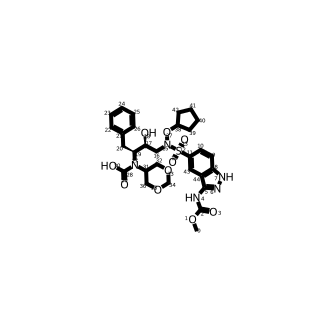 COC(=O)Nc1n[nH]c2ccc(S(=O)(=O)N(C[C@H](O)[C@H](Cc3ccccc3)N(C(=O)O)C3COCOC3)OC3CCCC3)cc12